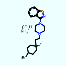 CC(C)(C)C1CCC(F)(CCN2CCN(c3nsc4ccccc34)CC2)CC1.NC(=O)O